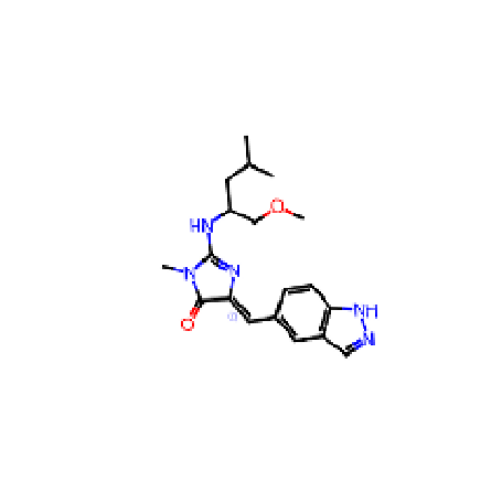 COCC(CC(C)C)NC1=N/C(=C\c2ccc3[nH]ncc3c2)C(=O)N1C